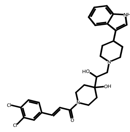 O=C(C=Cc1ccc(Cl)c(Cl)c1)N1CCC(O)(C(O)CN2CCC(c3c[nH]c4ccccc34)CC2)CC1